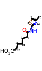 Cc1csc(NC(=O)CCCCCC(=O)O)n1